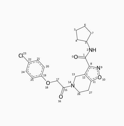 O=C(NC1CCCC1)c1noc2c1CN(C(=O)COc1ccc(Cl)cc1)CC2